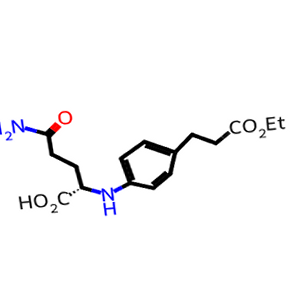 CCOC(=O)CCc1ccc(N[C@@H](CCC(N)=O)C(=O)O)cc1